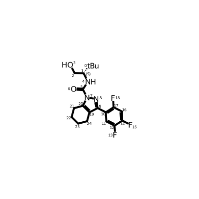 CC(C)(C)[C@@H](CO)NC(=O)n1nc(-c2cc(F)c(F)cc2F)c2c1CCCC2